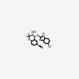 CC1(C)Oc2ccc(C#N)cc2[C@@H](Sc2nc3cc(Cl)ccc3[nH]2)[C@H]1O